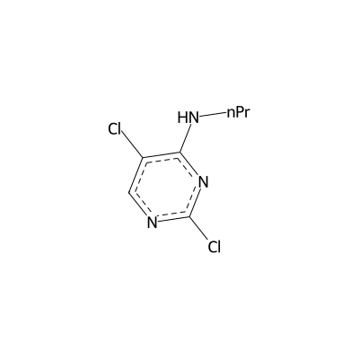 CCCNc1nc(Cl)ncc1Cl